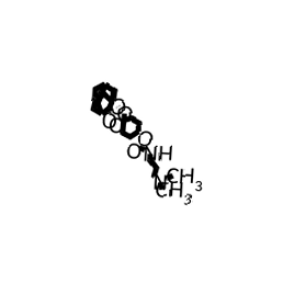 CN(C)CCCNC(=O)OC1CCC2(CC1)OOC1(OO2)C2CC3CC(C2)CC1C3